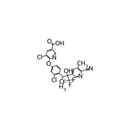 Cc1cc(C(O)(C(C)c2ccc(Oc3ncc(C(=O)O)cc3Cl)cc2Cl)C(F)(F)F)cnc1C#N